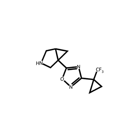 FC(F)(F)C1(c2noc(C34CNCC3C4)n2)CC1